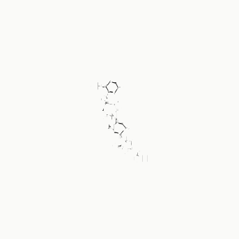 O=C1O[C@@H](CO)CN1c1ccc(N2CCC(Oc3ccccc3Cl)CC2)nc1